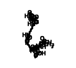 CC1(C)OC(=O)c2ccc(Nc3ncc(-c4nnc(CCCN5CCN(CC(=O)NCCCCCCCNc6cccc7c6C(=O)N(C6CCC(=O)NC6=O)C7=O)CC5)o4)c(N[C@H](CO)c4ccccc4)n3)cc21